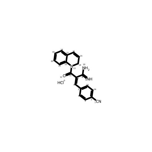 Cl.N#Cc1ccc(C=C(C(=N)N)C(=O)N2CC=Cc3ccccc32)cc1